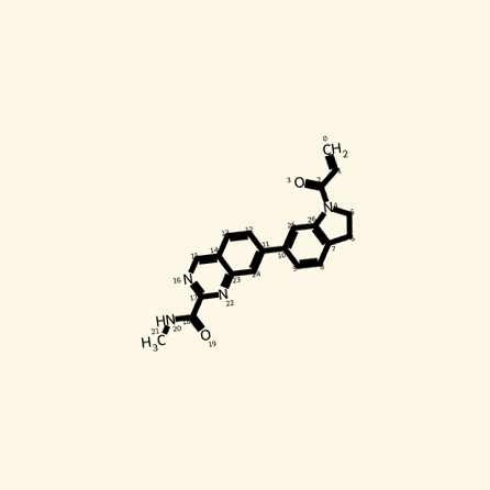 C=CC(=O)N1CCc2ccc(-c3ccc4cnc(C(=O)NC)nc4c3)cc21